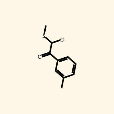 CSC(Cl)C(=O)c1cccc(C)c1